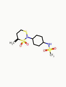 C=C1CCSN(C2CCC(NS(=O)(=O)C(F)(F)F)CC2)S1(=O)=O